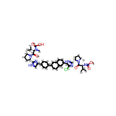 COC(=O)N[C@H](C(=O)N1[C@@H](C)CC[C@H]1c1nc(Cl)c(-c2ccc3cc(-c4ccc(-c5c[nH]c([C@@H]6CC[C@H](C)N6C(=O)[C@H](C(C)C)N(C)C(=O)O)n5)cc4)ccc3c2)[nH]1)C(C)C